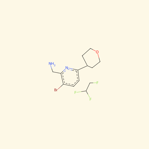 FCC(F)F.NCc1nc(C2CCOCC2)ccc1Br